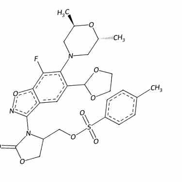 Cc1ccc(S(=O)(=O)OCC2COC(=O)N2c2noc3c(F)c(N4C[C@@H](C)O[C@H](C)C4)c(C4OCCO4)cc23)cc1